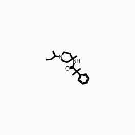 CCC(C)N1CCC(C)(NC(=O)C(C)(C)c2ccccc2)CC1